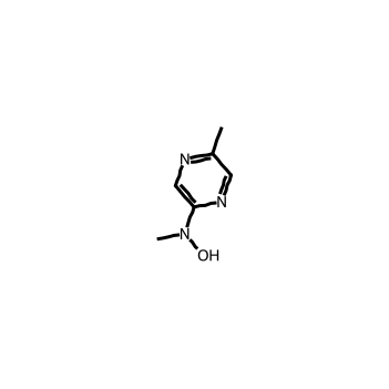 Cc1cnc(N(C)O)cn1